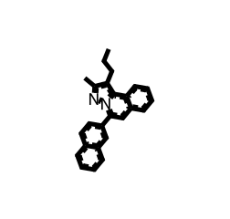 CCCc1c(C)nn2c(-c3ccc4ccccc4c3)cc3ccccc3c12